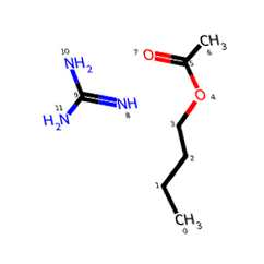 CCCCOC(C)=O.N=C(N)N